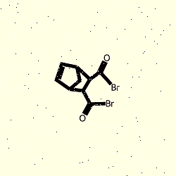 O=C(Br)C1C2C=CC(C2)C1C(=O)Br